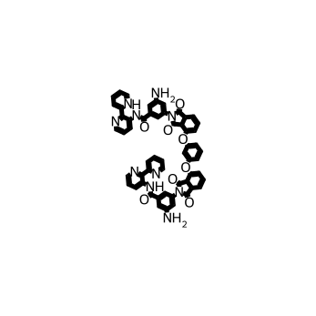 Nc1cc(C(=O)Nc2cccnc2-c2ccccn2)cc(N2C(=O)C3C=CC=C(Oc4cccc(OC5=CC=CC6C(=O)N(c7cc(N)cc(C(=O)Nc8cccnc8-c8ccccn8)c7)C(=O)C56)c4)C3C2=O)c1